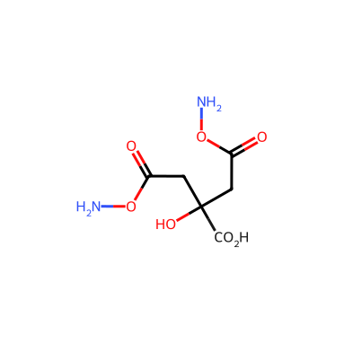 NOC(=O)CC(O)(CC(=O)ON)C(=O)O